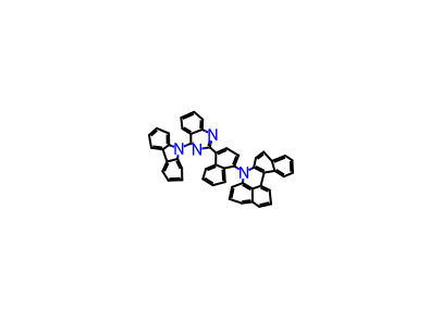 c1ccc2c3c(ccc2c1)N(c1ccc(-c2nc(-n4c5ccccc5c5ccccc54)c4ccccc4n2)c2ccccc12)c1cccc2cccc-3c12